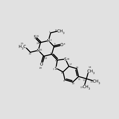 CCN1C(=O)C(=C2SC3C=CC(C(C)(C)C)=CC3S2)C(=O)N(CC)C1=S